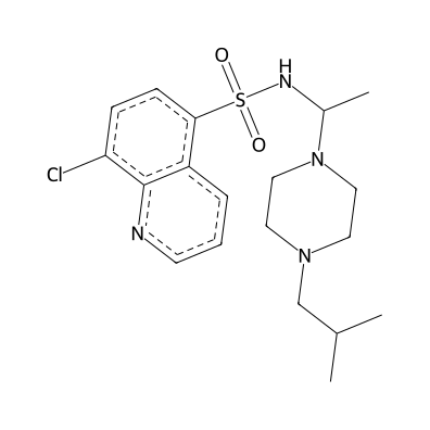 CC(C)CN1CCN(C(C)NS(=O)(=O)c2ccc(Cl)c3ncccc23)CC1